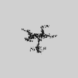 COC(=O)/C=C/c1ccc(C(=O)OCC(C)(COC(=O)c2ccc(/C=C/C(=O)OC)cc2)C(=O)Oc2cc(OC(=O)C(C)(COC(=O)c3ccc(/C=C/C(=O)OC)cc3)COC(=O)c3ccc(/C=C/C(=O)OC)cc3)cc(C(=O)OCCCCCCc3c(N)cc(N)cc3C(=O)O)c2)cc1